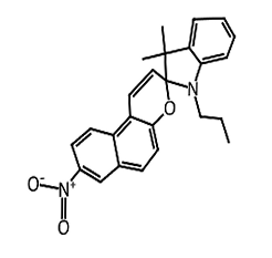 CCCN1c2ccccc2C(C)(C)C12C=Cc1c(ccc3cc([N+](=O)[O-])ccc13)O2